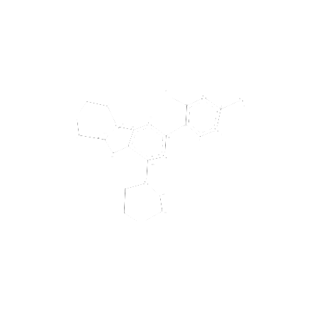 CCc1nc(N)ncc1-c1nc(N2CCOCC2)c2c(n1)N1CCOC[C@@H]1C2